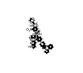 CC(C)c1ccccc1[C@@H]1CCCN1C1CC2(CCN(c3ccc(C(=O)NS(=O)(=O)c4cc5c(c([N+](=O)[O-])c4)N[C@H]([C@H]4COCCO4)CO5)c(N4c5cc6cc[nH]c6nc5O[C@H]5COC[C@@H]54)c3)CC2)C1